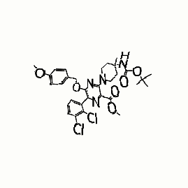 COC(=O)c1nc(-c2cccc(Cl)c2Cl)c(OCc2ccc(OC)cc2)nc1N1CCC(C)(NC(=O)OC(C)(C)C)CC1